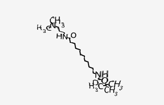 CN(C)CCCNC(=O)CCCCCCCCCCCNC(=O)OC(C)(C)C